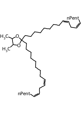 CCCCC/C=C\C/C=C\CCCCCCCCC1(CCCCCCCC/C=C\C/C=C\CCCCC)OC(C)C(C)O1